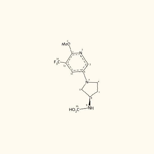 COc1ncc(N2CC[C@@H](NC(=O)O)C2)cc1C(F)(F)F